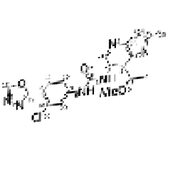 CO[C@H](C)c1c(NC(=O)Nc2ccc(-c3nnco3)c(Cl)c2)cnc2sc(C)nc12